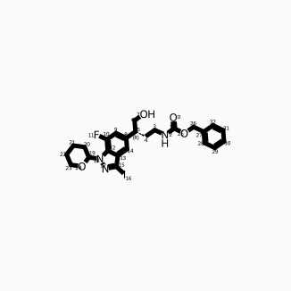 O=C(NCC[C@@H](CO)c1cc(F)c2c(c1)c(I)nn2C1CCCCO1)OCc1ccccc1